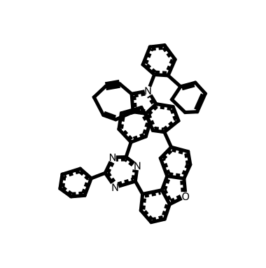 C1#Cc2c(c3cc(-c4ccc5oc6cccc(-c7nc(-c8ccccc8)nc(-c8ccccc8)n7)c6c5c4)ccc3n2-c2ccccc2C2=CC=CCC2)C=CC1